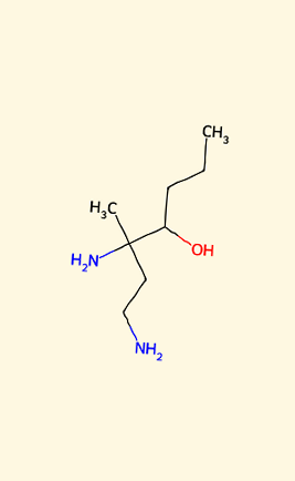 CCCC(O)C(C)(N)CCN